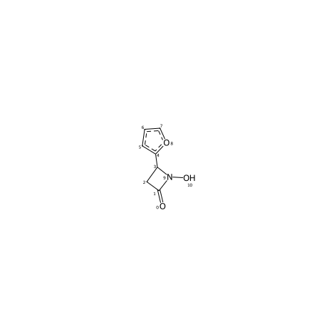 O=C1CC(c2ccco2)N1O